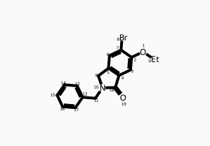 CCOc1cc2c(cc1Br)CN(Cc1ccccc1)C2=O